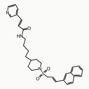 O=C(C=Cc1cccnc1)NCCCCC1CCN(S(=O)(=O)CC=Cc2ccc3ccccc3c2)CC1